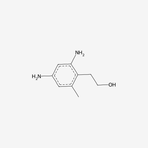 Cc1cc(N)cc(N)c1CCO